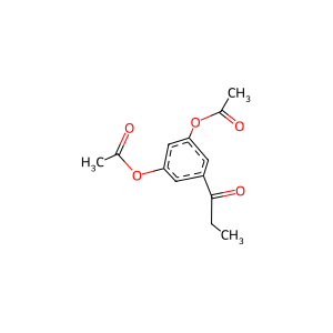 CCC(=O)c1cc(OC(C)=O)cc(OC(C)=O)c1